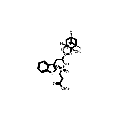 COC(=O)CCS(=O)(=O)N[C@@H](Cc1coc2ccccc12)B1O[C@@H]2C[C@@H]3C[C@@H](C3(C)C)[C@]2(C)O1